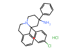 Cl.NC1(c2ccccc2)CCN2CCc3ccccc3C2(c2ccc(Cl)cc2)C1